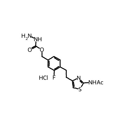 CC(=O)Nc1nc(CCc2ccc(COC(=O)NN)cc2F)cs1.Cl